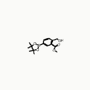 COC(=O)c1cc(B2OC(C)(C)C(C)(C)O2)ccc1CO